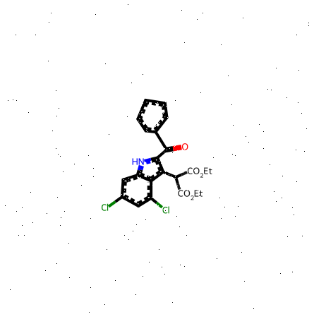 CCOC(=O)C(C(=O)OCC)c1c(C(=O)c2ccccc2)[nH]c2cc(Cl)cc(Cl)c12